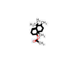 CC(=O)OC1CCC=C2C(C)(C)C(C)CCC21C